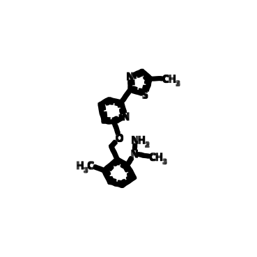 Cc1cnc(-c2cccc(OCc3c(C)cccc3N(C)N)n2)s1